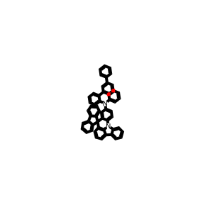 c1ccc(-c2cccc(-c3ccccc3N(c3ccccc3)c3ccc4c(c3)C3(c5ccccc5-c5ccccc53)c3cccc5c6ccccc6n-4c35)c2)cc1